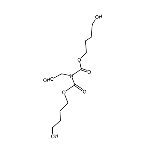 O=CCN(C(=O)OCCCCO)C(=O)OCCCCO